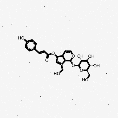 O=C(/C=C/c1ccc(O)cc1)OC1C=C(CO)C2C(O[C@@H]3O[C@H](CO)[C@@H](O)[C@H](O)[C@H]3O)OC=CC12